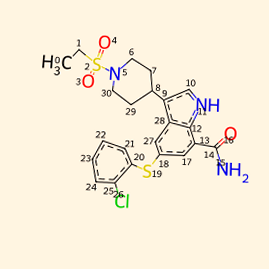 CCS(=O)(=O)N1CCC(c2c[nH]c3c(C(N)=O)cc(Sc4ccccc4Cl)cc23)CC1